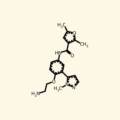 Cc1cc(C(=O)Nc2ccc(OCCN)c(-c3ccnn3C)c2)c(C)o1